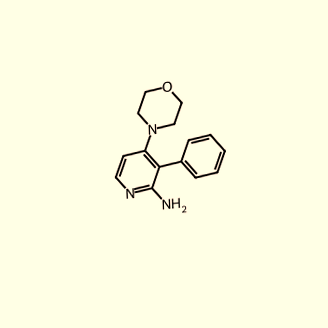 Nc1nccc(N2CCOCC2)c1-c1ccccc1